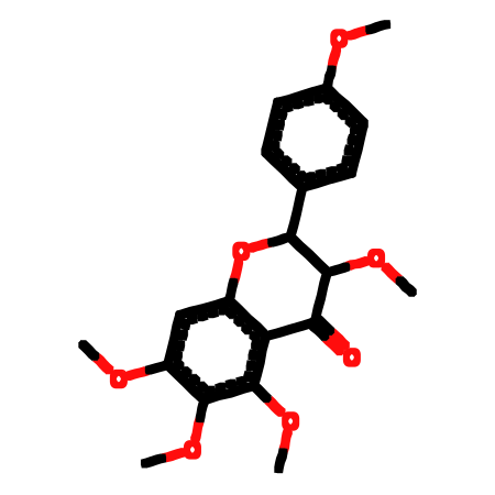 COc1ccc(C2Oc3cc(OC)c(OC)c(OC)c3C(=O)C2OC)cc1